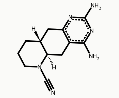 N#CN1CCC[C@@H]2Cc3nc(N)nc(N)c3C[C@H]21